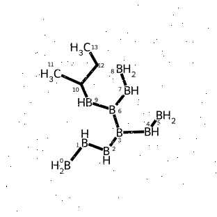 BBBB(BB)B(BB)BC(C)CC